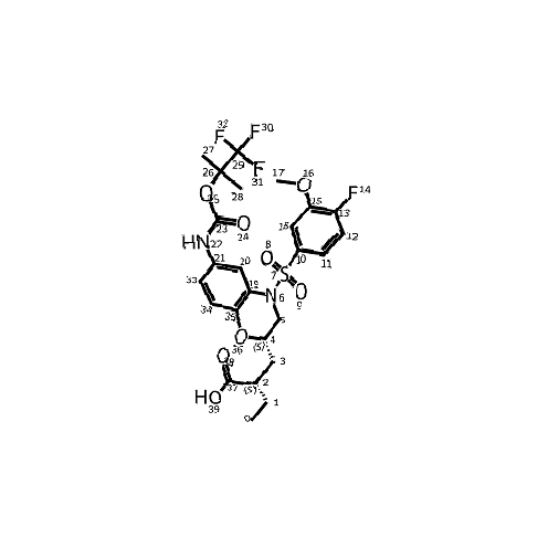 CC[C@@H](C[C@H]1CN(S(=O)(=O)c2ccc(F)c(OC)c2)c2cc(NC(=O)OC(C)(C)C(F)(F)F)ccc2O1)C(=O)O